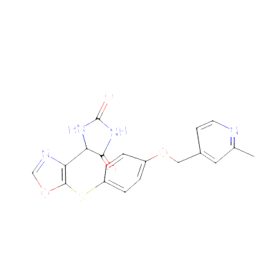 Cc1cc(COc2ccc(Sc3ocnc3C3NC(=O)NC3=O)cc2)ccn1